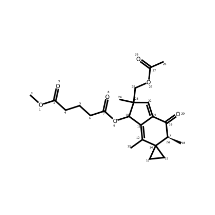 COC(=O)CCCC(=O)OC1C2=C(C)C3(CC3)[C@H](C)C(=O)C2=CC1(C)COC(C)=O